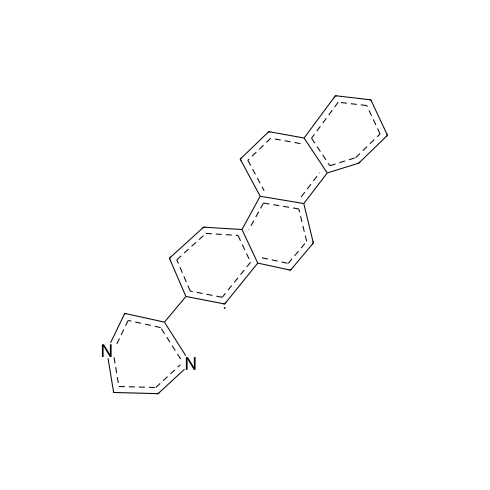 [c]1c(-c2cnccn2)ccc2c1ccc1c3ccccc3ccc21